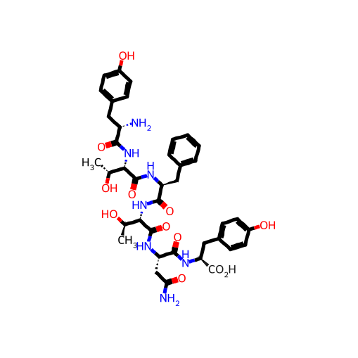 C[C@@H](O)[C@H](NC(=O)[C@H](Cc1ccccc1)NC(=O)[C@@H](NC(=O)[C@@H](N)Cc1ccc(O)cc1)[C@@H](C)O)C(=O)N[C@@H](CC(N)=O)C(=O)N[C@@H](Cc1ccc(O)cc1)C(=O)O